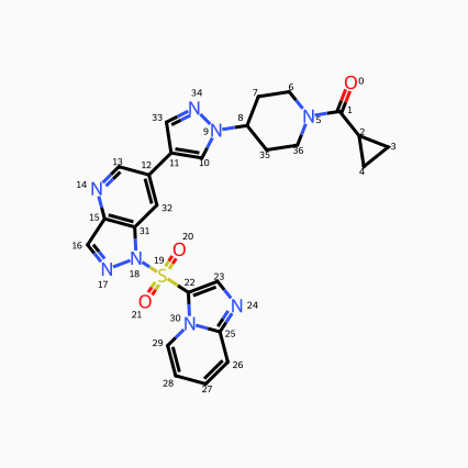 O=C(C1CC1)N1CCC(n2cc(-c3cnc4cnn(S(=O)(=O)c5cnc6ccccn56)c4c3)cn2)CC1